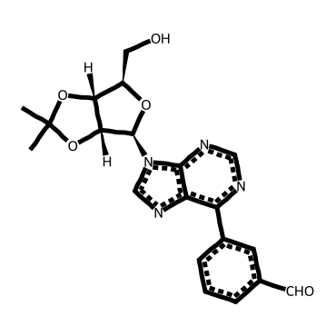 CC1(C)O[C@@H]2[C@H](O1)[C@@H](CO)O[C@H]2n1cnc2c(-c3cccc(C=O)c3)ncnc21